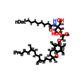 CCCCCCCCCCCCCCCCCC(=O)NC(CO)(CO)COC(=O)COc1c(C)c(C)c2c(c1C)CCC(C)(CCCC(C)CCCC(C)CCCC(C)C)O2